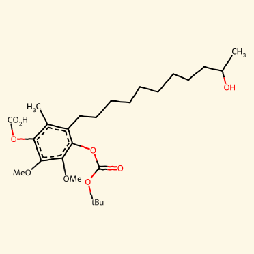 COc1c(OC(=O)O)c(C)c(CCCCCCCCCC(C)O)c(OC(=O)OC(C)(C)C)c1OC